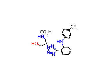 O=C(O)NCC(CO)n1nnc(-c2ccccc2Nc2ccc(C(F)(F)F)cc2)n1